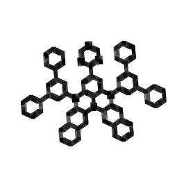 c1ccc(-c2cc(-c3ccccc3)cc(N3c4cc5ccccc5cc4B4c5cc6ccccc6cc5N(c5cc(-c6ccccc6)cc(-c6ccccc6)c5)c5cc(-c6ncncn6)cc3c54)c2)cc1